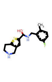 Cc1ccc(F)cc1CNC(O)c1cc2c(s1)CCNC2